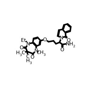 CCN1C(=O)C(C)(C)C(=O)N(C)c2cc(OCCCC(C(N)=O)n3ccc4ccccc4c3=O)ccc21